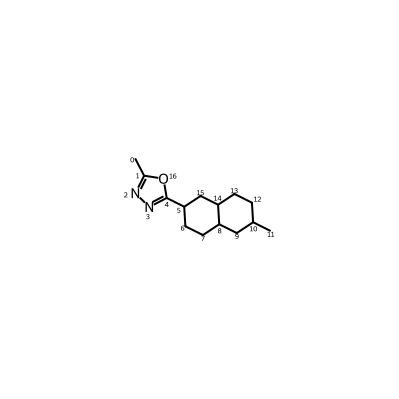 Cc1nnc(C2CCC3CC(C)CCC3C2)o1